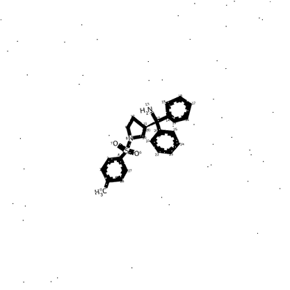 Cc1ccc(S(=O)(=O)N2CC[C@@H](C(N)(c3ccccc3)c3ccccc3)C2)cc1